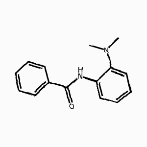 CN(C)c1ccccc1NC(=O)c1ccccc1